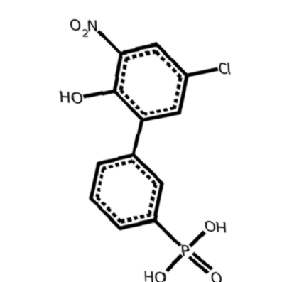 O=[N+]([O-])c1cc(Cl)cc(-c2cccc(P(=O)(O)O)c2)c1O